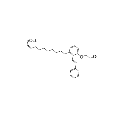 CCCCCCCC/C=C\CCCCCCCCc1cccc(OCC[O])c1C=Cc1ccccc1